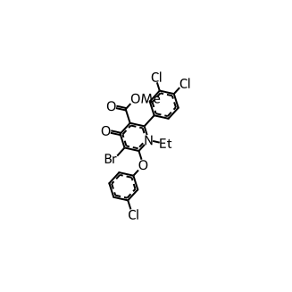 CCn1c(Oc2cccc(Cl)c2)c(Br)c(=O)c(C(=O)OC)c1-c1ccc(Cl)c(Cl)c1